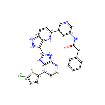 O=C(Cc1ccccc1)Nc1cncc(-c2ccc3[nH]nc(-c4nc5c(-c6ccc(Cl)s6)ccnc5[nH]4)c3n2)c1